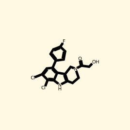 O=C(CO)N1CCc2[nH]c3c(Cl)c(Cl)cc(-c4ccc(F)cc4)c3c2C1